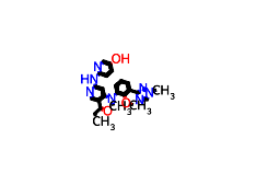 CCC(=O)c1cnc(Nc2ccc(O)cn2)cc1N(C)c1cccc(-c2ncn(C)n2)c1OC